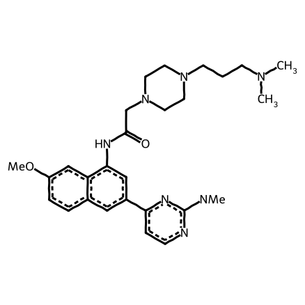 CNc1nccc(-c2cc(NC(=O)CN3CCN(CCCN(C)C)CC3)c3cc(OC)ccc3c2)n1